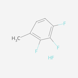 Cc1ccc(F)c(F)c1F.F